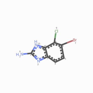 Nc1nc2ccc(Br)c(Cl)c2[nH]1